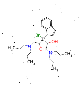 CCCN(CCC)C[CH](O)[Zr]([Br])([CH](O)CN(CCC)CCC)[CH]1C=Cc2ccccc21